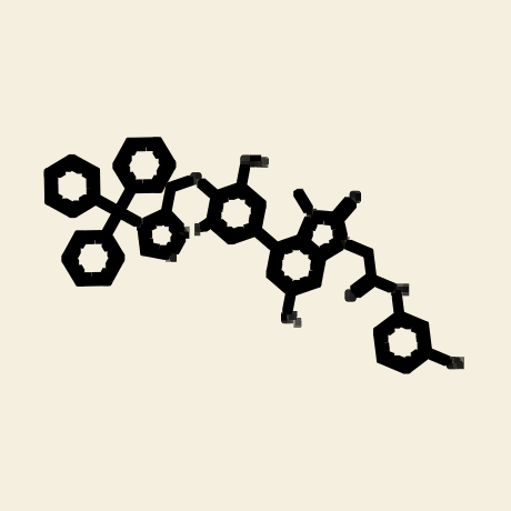 COc1cc(-c2cc(C(F)(F)F)cc3c2n(C)c(=O)n3CC(=O)Nc2cccc(C#N)c2)cc(F)c1OCc1nncn1C(c1ccccc1)(c1ccccc1)c1ccccc1